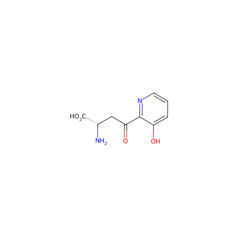 N[C@@H](CC(=O)c1ncccc1O)C(=O)O